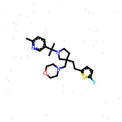 Cc1ccc(C(C)(C)N2CCC(CCc3ccc(F)s3)(CN3CCOCC3)C2)cn1